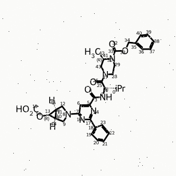 CC(C)[C@H](NC(=O)c1cc(N2C[C@@H]3[C@H](C2)[C@@H]3OC(=O)O)nc(-c2ccccc2)n1)C(=O)N1CCN(C(=O)OCc2ccccc2)[C@H](C)C1